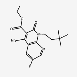 CCOC(=O)c1c(O)c2cc(F)cnc2n(CCC(C)(C)C)c1=O